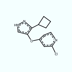 Clc1cc(Oc2c[nH]nc2C2CCC2)ccn1